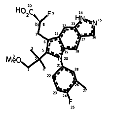 COCC(C)(C)c1c(C[C@H](F)C(=O)O)c2cc3[nH]ncc3cc2n1-c1ccc(F)c(C)c1